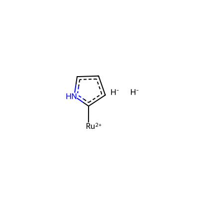 [H-].[H-].[Ru+2][c]1ccc[nH]1